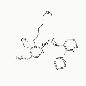 CCCCCCc1c(O)ccc(CC)c1CC.CNc1cnnnc1-c1ccccc1